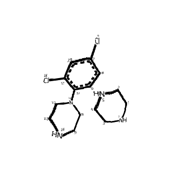 C1CNCCN1.Clc1ccc(N2CCNCC2)c(Cl)c1